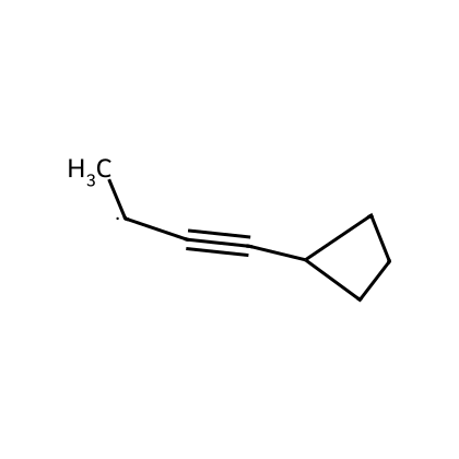 C[CH]C#CC1CCC1